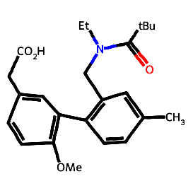 CCN(Cc1cc(C)ccc1-c1cc(CC(=O)O)ccc1OC)C(=O)C(C)(C)C